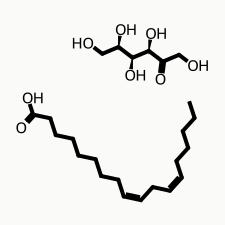 CCCCC/C=C\C/C=C\CCCCCCCC(=O)O.O=C(CO)[C@H](O)[C@@H](O)[C@H](O)CO